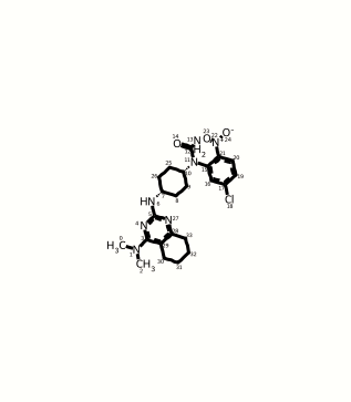 CN(C)c1nc(N[C@H]2CC[C@@H](N(C(N)=O)c3cc(Cl)ccc3[N+](=O)[O-])CC2)nc2c1CCCC2